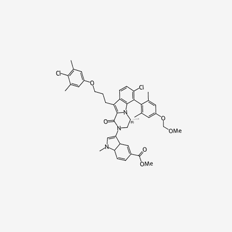 COCOc1cc(C)c(-c2c(Cl)ccc3c(CCCOc4cc(C)c(Cl)c(C)c4)c4n(c23)[C@H](C)CN(C2=CN(C)C3C=CC(C(=O)OC)=CC23)C4=O)c(C)c1